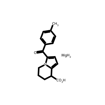 Cc1ccc(C(=O)c2ccc3n2CCCC3C(=O)O)cc1.[MgH2]